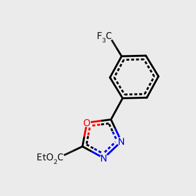 CCOC(=O)c1nnc(-c2cccc(C(F)(F)F)c2)o1